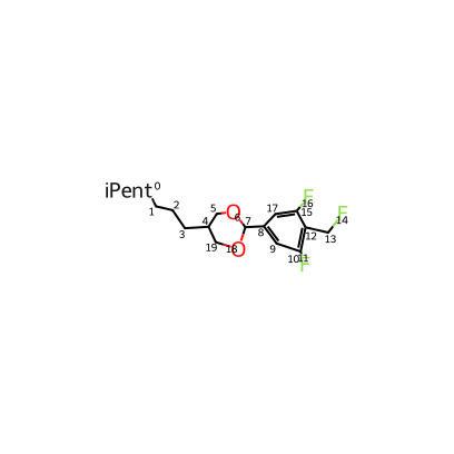 CCCC(C)CCCC1COC(c2cc(F)c(CF)c(F)c2)OC1